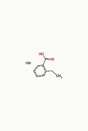 Br.CCc1ccccc1C(=O)O